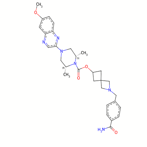 COc1ccc2nc(N3C[C@@H](C)N(C(=O)OC4CC5(C4)CN(Cc4ccc(C(N)=O)cc4)C5)[C@@H](C)C3)cnc2c1